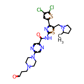 CC1CCCN1Cc1sc(NC(=O)c2cnc(N3CCN(CCC=O)CC3)cn2)nc1-c1cc(Cl)c(Cl)s1